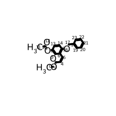 COC(=O)/C=C\c1cc(OC(C)=O)ccc1OCc1ccccc1